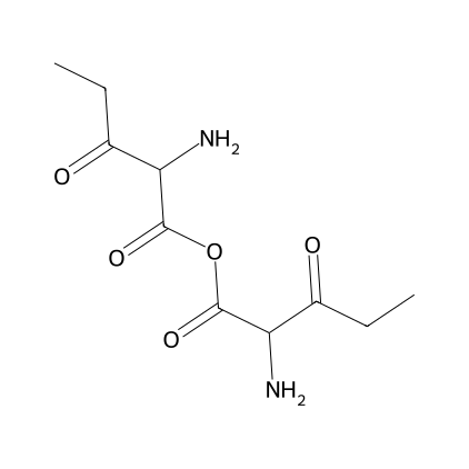 CCC(=O)C(N)C(=O)OC(=O)C(N)C(=O)CC